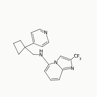 FC(F)(F)c1cn2c(NCC3(c4ccncc4)CCC3)cccc2n1